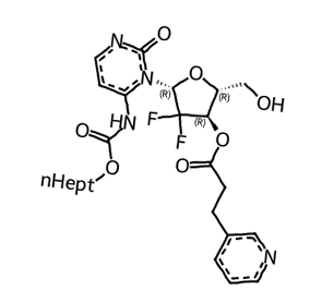 CCCCCCCOC(=O)Nc1ccnc(=O)n1[C@@H]1O[C@H](CO)[C@@H](OC(=O)CCc2cccnc2)C1(F)F